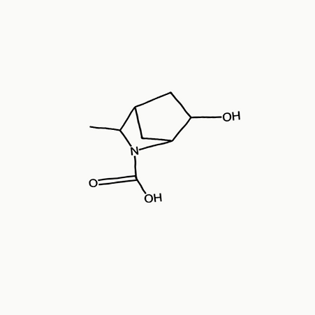 CC1C2CC(O)C(C2)N1C(=O)O